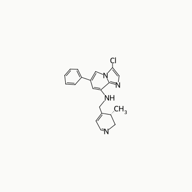 C[C@@H]1CN=CC=C1CNc1cc(-c2ccccc2)cn2c(Cl)cnc12